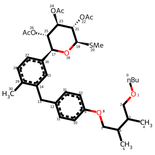 CCCCOCC(C)C(C)COc1ccc(Cc2cc([C@@H]3O[C@H](SC)[C@@H](OC(C)=O)[C@H](OC(C)=O)[C@H]3OC(C)=O)ccc2C)cc1